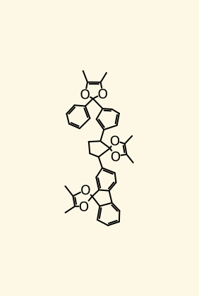 CC1=C(C)OC(c2ccccc2)(c2cccc(C3CCC(c4ccc5c(c4)C4(OC(C)=C(C)O4)c4ccccc4-5)C34OC(C)=C(C)O4)c2)O1